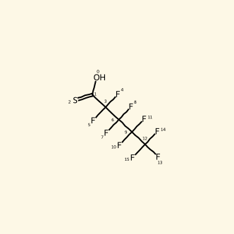 OC(=S)C(F)(F)C(F)(F)C(F)(F)C(F)(F)F